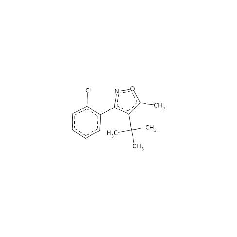 Cc1onc(-c2ccccc2Cl)c1C(C)(C)C